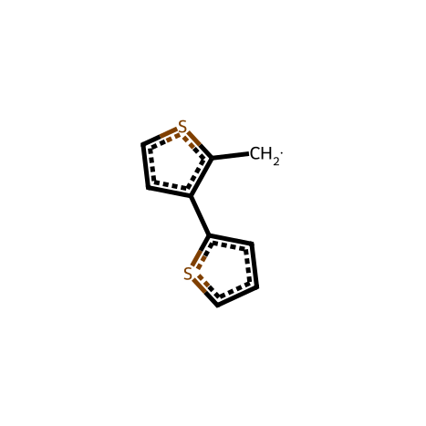 [CH2]c1sccc1-c1cccs1